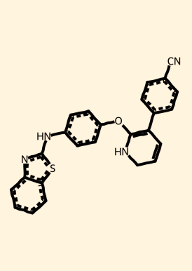 N#Cc1ccc(C2=C(Oc3ccc(Nc4nc5ccccc5s4)cc3)NCC=C2)cc1